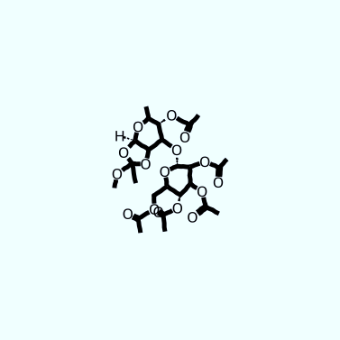 COC1(C)OC2C(O[C@H]3OC(COC(C)=O)[C@@H](OC(C)=O)C(OC(C)=O)C3OC(C)=O)[C@@H](OC(C)=O)C(C)O[C@@H]2O1